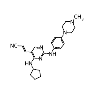 CN1CCN(c2ccc(Nc3ncc(C=CC#N)c(NC4CCCC4)n3)cc2)CC1